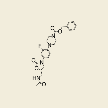 CC(=O)NCC1CN(c2ccc(N3CCN(C(=O)OCc4ccccc4)CC3)c(F)c2)C(=O)O1